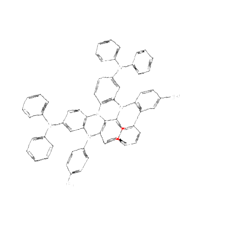 Cc1cc2c3c(c1)N(c1ccc(C(C)(C)C)cc1-c1ccccc1)c1cc(N(c4ccccc4)c4ccccc4)ccc1B3c1ccc(N(c3ccccc3)c3ccccc3)cc1N2c1ccc(C(C)(C)C)cc1